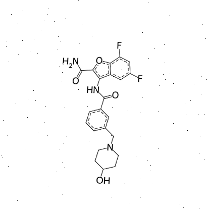 NC(=O)c1oc2c(F)cc(F)cc2c1NC(=O)c1cccc(CN2CCC(O)CC2)c1